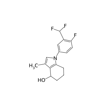 Cc1cn(-c2ccc(F)c(C(F)F)c2)c2c1C(O)CCC2